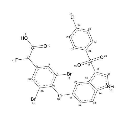 O=C(O)C(F)c1cc(Br)c(Oc2ccc3[nH]cc(S(=O)(=O)c4ccc(Cl)cc4)c3c2)c(Br)c1